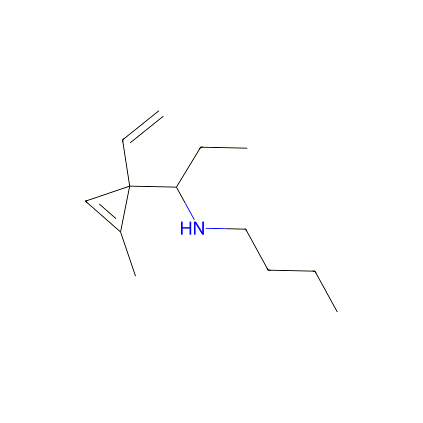 C=CC1(C(CC)NCCCC)C=C1C